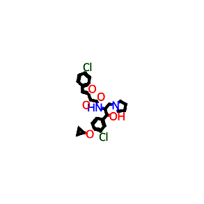 O=C(NC(CN1CCCC1)C(O)c1ccc(OC2CC2)c(Cl)c1)C(=O)c1cc2ccc(Cl)cc2o1